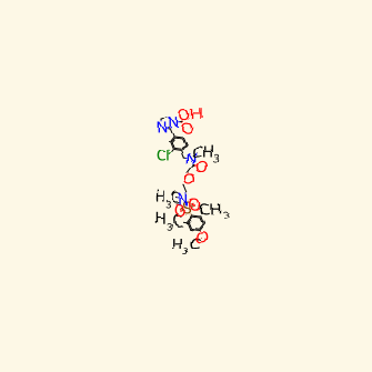 COc1cc(C)c(S(=O)(=O)N(C)CCOCC(=O)N(C)Cc2ccc(C3=NCCN3C(=O)O)cc2Cl)c(C)c1